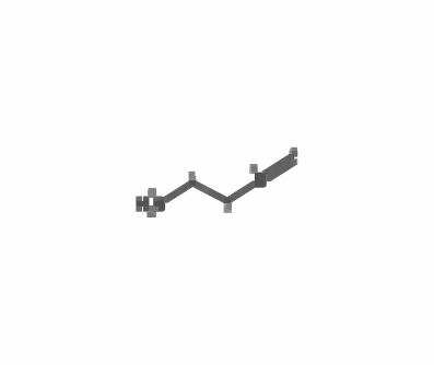 BCCB=C